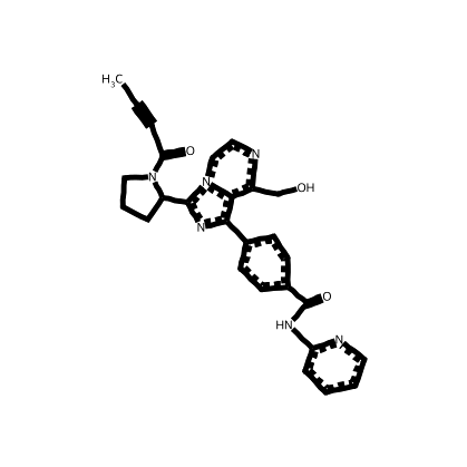 CC#CC(=O)N1CCCC1c1nc(-c2ccc(C(=O)Nc3ccccn3)cc2)c2c(CO)nccn12